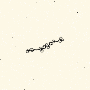 C=CC(=O)OCCCCOc1ccc(C(=O)Oc2ccc(C(=O)OCCCCCOCC3(C)COC3)cc2)cc1